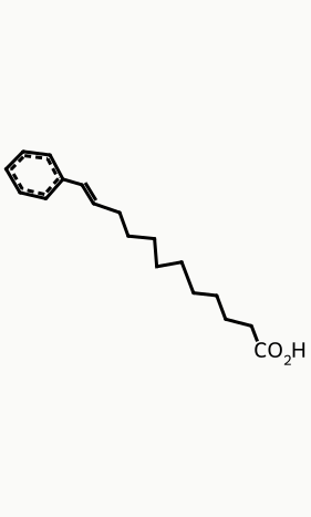 O=C(O)CCCCCCCCCC=Cc1ccccc1